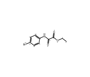 CCOC(=O)C(=O)Nc1ccc(Br)cc1